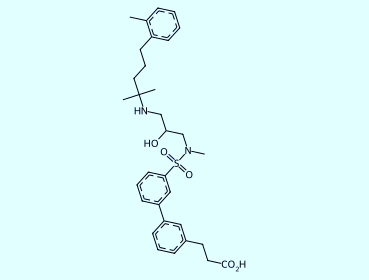 Cc1ccccc1CCCC(C)(C)NCC(O)CN(C)S(=O)(=O)c1cccc(-c2cccc(CCC(=O)O)c2)c1